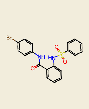 O=C(Nc1ccc(Br)cc1)c1ccccc1NS(=O)(=O)c1ccccc1